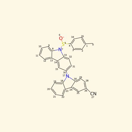 Cc1ccc([S+]([O-])n2c3ccccc3c3cc(-n4c5ccccc5c5cc(C#N)ccc54)ccc32)cc1